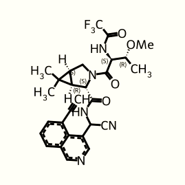 C#Cc1cccc2cncc(C(C#N)NC(=O)[C@@H]3[C@@H]4[C@H](CN3C(=O)[C@@H](NC(=O)C(F)(F)F)[C@@H](C)OC)C4(C)C)c12